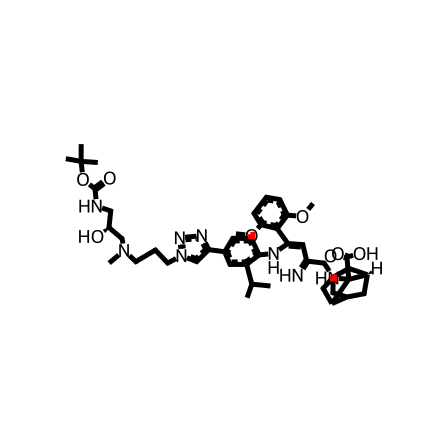 COc1cccc(OC)c1/C(=C/C(=N)C(=O)NC1(C(=O)O)C2CC3CC2C[C@@H]1C3)Nc1ccc(-c2cn(CCCN(C)C[C@@H](O)CNC(=O)OC(C)(C)C)nn2)cc1C(C)C